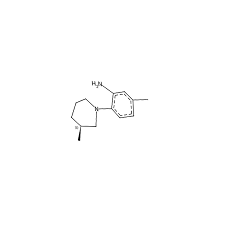 Cc1ccc(N2CCC[C@H](C)C2)c(N)c1